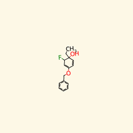 CCC1(O)C=CC(OCc2ccccc2)=CC1F